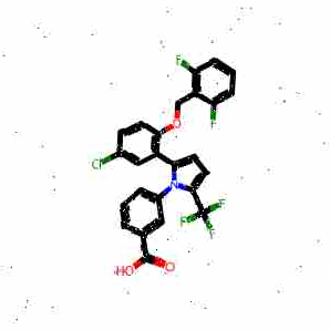 O=C(O)c1cccc(-n2c(-c3cc(Cl)ccc3OCc3c(F)cccc3F)ccc2C(F)(F)F)c1